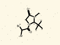 CN1C(=O)CN(C(=O)C(Br)Br)C1C(C)(C)C